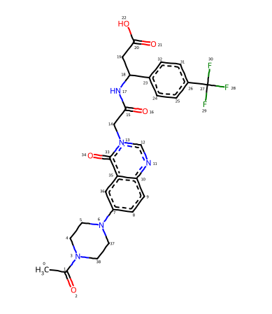 CC(=O)N1CCN(c2ccc3ncn(CC(=O)NC(CC(=O)O)c4ccc(C(F)(F)F)cc4)c(=O)c3c2)CC1